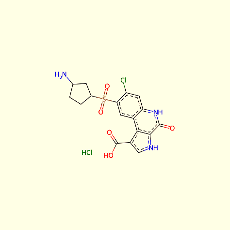 Cl.NC1CCC(S(=O)(=O)c2cc3c(cc2Cl)[nH]c(=O)c2[nH]cc(C(=O)O)c23)C1